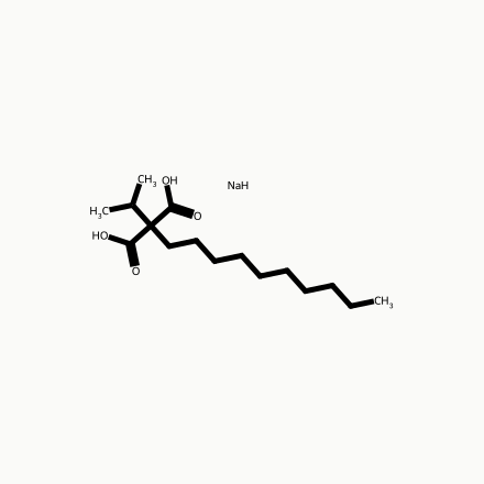 CCCCCCCCCCC(C(=O)O)(C(=O)O)C(C)C.[NaH]